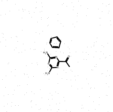 CC(=O)c1nc(N)nc(N)n1.c1ccccc1